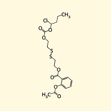 CCCC(Cl)OC(=O)OCCSSCCOC(=O)c1ccccc1OC(C)=O